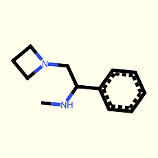 CNC(CN1CCC1)c1ccccc1